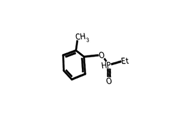 CC[PH](=O)Oc1ccccc1C